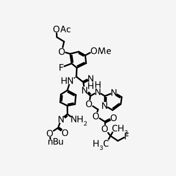 CCCCOC(=O)/N=C(\N)c1ccc(N[C@@H](C(=N)/N=C(\Nc2ncccn2)OCOC(=O)OC(C)(C)CF)c2cc(OC)cc(OCCOC(C)=O)c2F)cc1